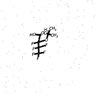 CC(C)(C)OC(F)(C(=O)O)C(F)(F)C(F)(F)F